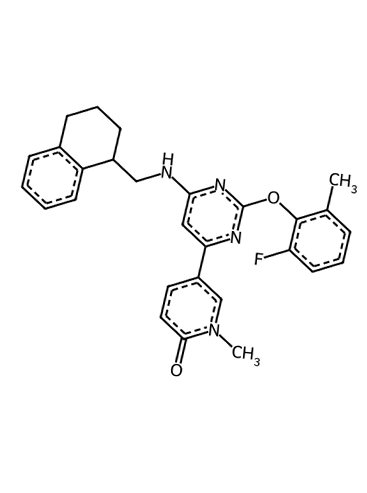 Cc1cccc(F)c1Oc1nc(NCC2CCCc3ccccc32)cc(-c2ccc(=O)n(C)c2)n1